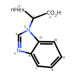 CCCCCCC(C(=O)O)n1cnc2ccccc21